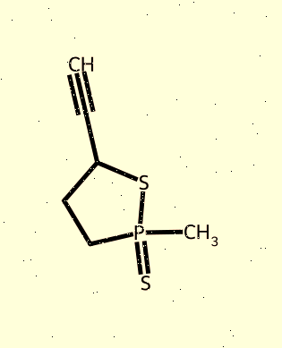 C#CC1CCP(C)(=S)S1